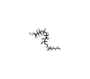 CCC(C)(CCOC(C)(C)CCSOC)NC(=O)C(C)(C)CC(C)(C)OC(C)(C)C(C)(C)C(N)=O